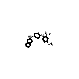 Cc1ccc(N[C@H]2CC[C@@H](NC3Cc4ccccc4C3)CC2)c([N+](=O)[O-])c1